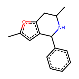 Cc1cc2c(o1)CC(C)NC2c1ccccc1